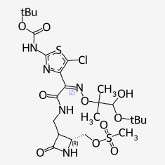 CC(C)(C)OC(=O)Nc1nc(/C(=N/OC(C)(C)C(O)OC(C)(C)C)C(=O)NCC2C(=O)N[C@H]2COS(C)(=O)=O)c(Cl)s1